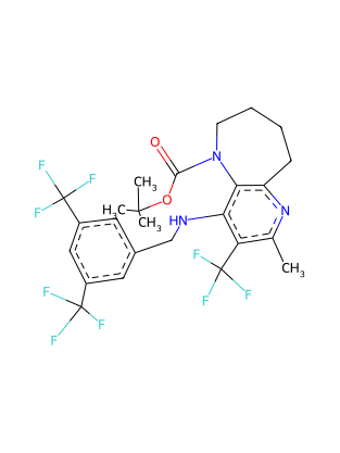 Cc1nc2c(c(NCc3cc(C(F)(F)F)cc(C(F)(F)F)c3)c1C(F)(F)F)N(C(=O)OC(C)(C)C)CCCC2